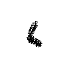 O=[PH](OC(F)(F)C(F)(F)C(F)(F)C(F)(F)C(F)(F)C(F)(F)C(F)(F)F)C(F)(F)C(F)(F)C(F)(F)C(F)(F)C(F)(F)C(F)(F)C(F)(F)F